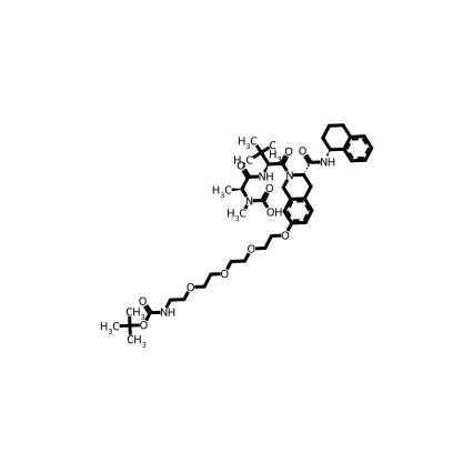 C[C@@H](C(=O)N[C@H](C(=O)N1Cc2cc(OCCOCCOCCOCCNC(=O)OC(C)(C)C)ccc2C[C@H]1C(=O)N[C@@H]1CCCc2ccccc21)C(C)(C)C)N(C)C(=O)O